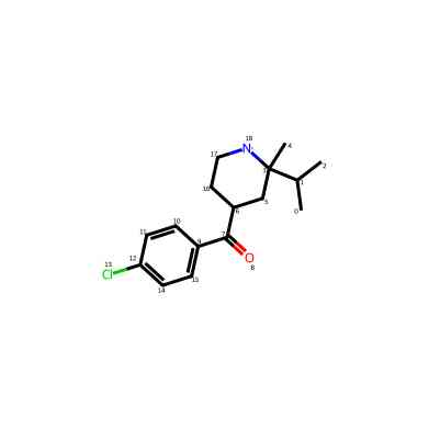 CC(C)C1(C)CC(C(=O)c2ccc(Cl)cc2)CC[N]1